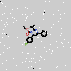 CCOC(=O)N1C(C(C)C)=NC(c2ccccc2)=CC1c1ccc(F)cc1